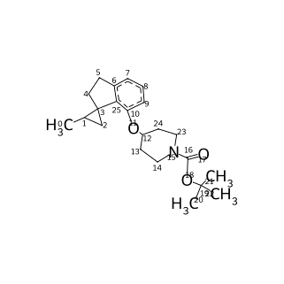 CC1CC12CCc1cccc(OC3CCN(C(=O)OC(C)(C)C)CC3)c12